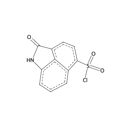 O=C1Nc2cccc3c(S(=O)(=O)Cl)ccc1c23